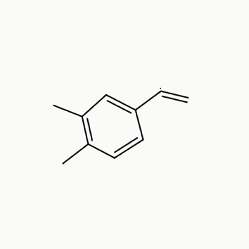 C=[C]c1ccc(C)c(C)c1